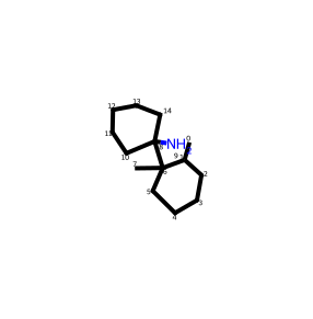 CC1CCCCC1(C)C1(N)CCCCC1